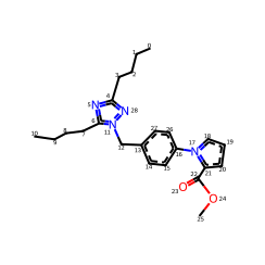 CCCCc1nc(CCCC)n(Cc2ccc(-n3cccc3C(=O)OC)cc2)n1